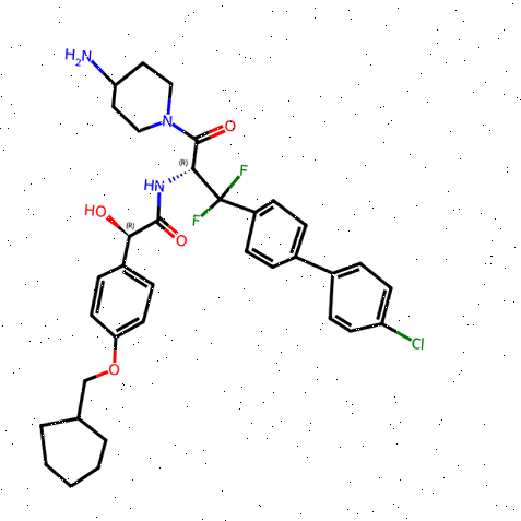 NC1CCN(C(=O)[C@@H](NC(=O)[C@H](O)c2ccc(OCC3CCCCC3)cc2)C(F)(F)c2ccc(-c3ccc(Cl)cc3)cc2)CC1